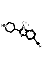 Cn1c(C2CCNCC2)nc2cc(C#N)ccc21